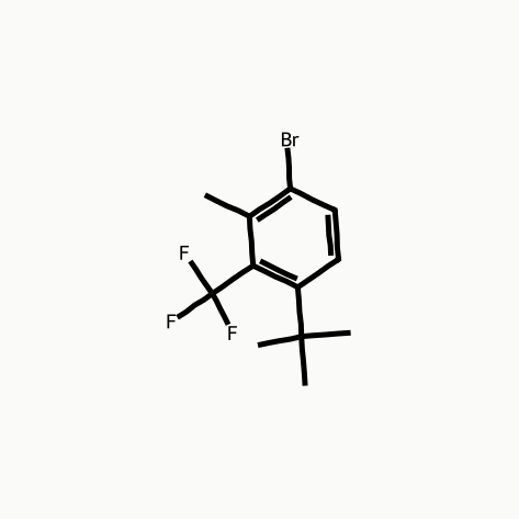 Cc1c(Br)ccc(C(C)(C)C)c1C(F)(F)F